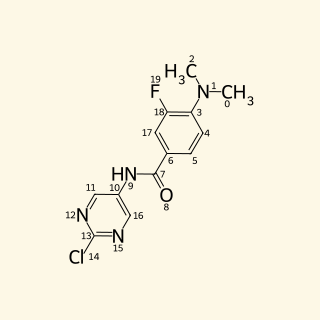 CN(C)c1ccc(C(=O)Nc2cnc(Cl)nc2)cc1F